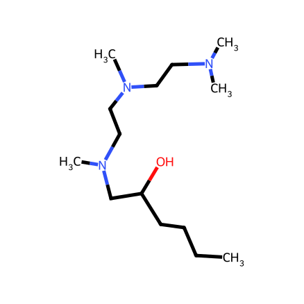 CCCCC(O)CN(C)CCN(C)CCN(C)C